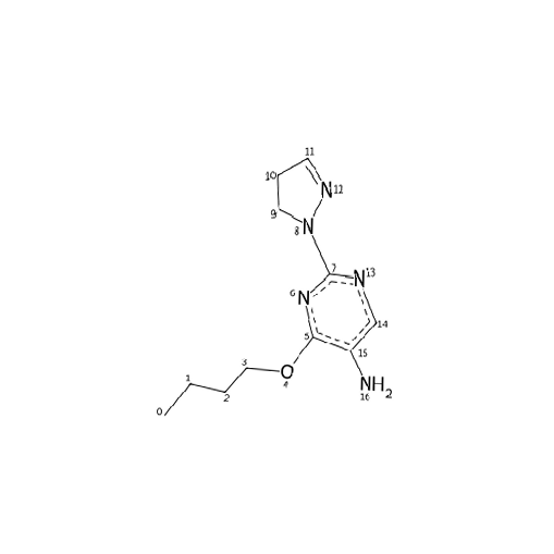 CCCCOc1nc(N2CCC=N2)ncc1N